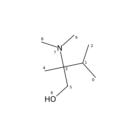 CC(C)C(C)(CO)N(C)C